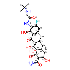 CC(C)(C)NCC(=O)Nc1c(F)cc2c(c1O)C(=O)C1=C(O)[C@]3(O)C(=O)C(C(N)=O)=C(O)C[C@@H]3CC1C2